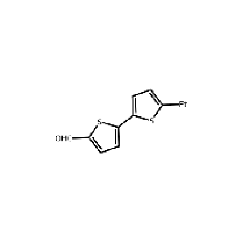 CCc1ccc(-c2ccc(C=O)s2)s1